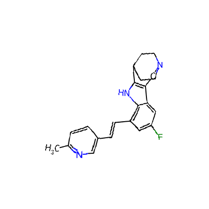 Cc1ccc(/C=C/c2cc(F)cc3c4c([nH]c23)C2CCN(CC2)C4)cn1